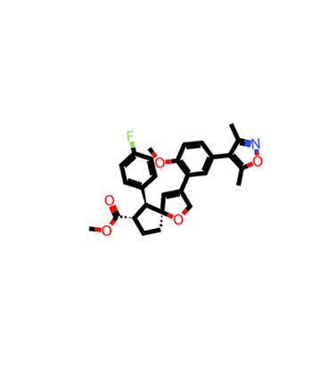 COC(=O)[C@H]1CC[C@@]2(C=C(c3cc(-c4c(C)noc4C)ccc3OC)CO2)[C@@H]1c1ccc(F)cc1